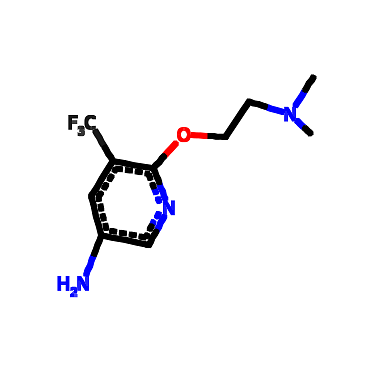 CN(C)CCOc1ncc(N)cc1C(F)(F)F